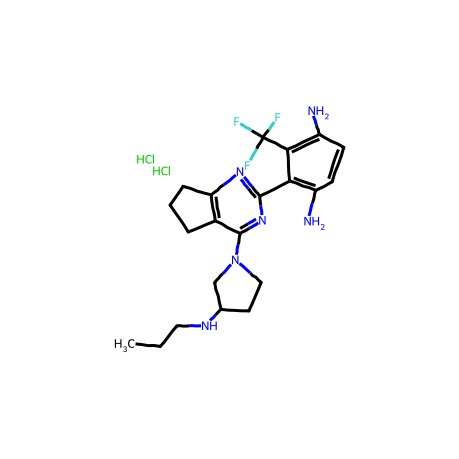 CCCNC1CCN(c2nc(-c3c(N)ccc(N)c3C(F)(F)F)nc3c2CCC3)C1.Cl.Cl